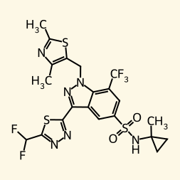 Cc1nc(C)c(Cn2nc(-c3nnc(C(F)F)s3)c3cc(S(=O)(=O)NC4(C)CC4)cc(C(F)(F)F)c32)s1